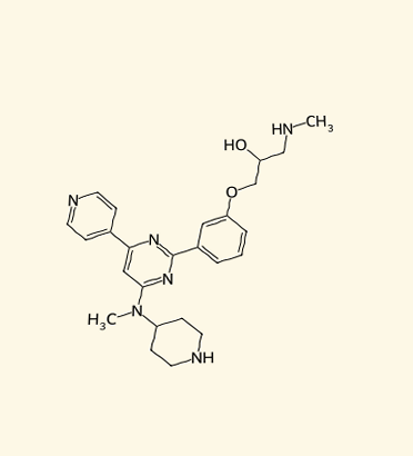 CNCC(O)COc1cccc(-c2nc(-c3ccncc3)cc(N(C)C3CCNCC3)n2)c1